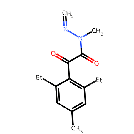 C=NN(C)C(=O)C(=O)c1c(CC)cc(C)cc1CC